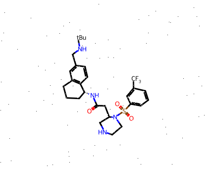 CC(C)(C)NCc1ccc2c(c1)CCC[C@H]2NC(=O)CC1CNCCN1S(=O)(=O)c1cccc(C(F)(F)F)c1